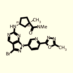 CNC(=O)[C@]1(C)CC[C@@H](Nc2ncc3c(Br)nn(-c4ccc(-c5nnc(C)o5)nc4)c3n2)C1